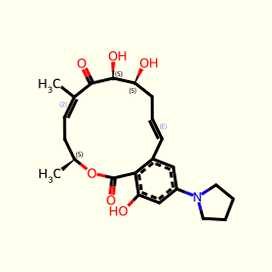 C/C1=C/C[C@H](C)OC(=O)c2c(O)cc(N3CCCC3)cc2/C=C/C[C@H](O)[C@H](O)C1=O